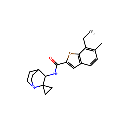 Cc1ccc2cc(C(=O)NC3C4CCN(CC4)C34CC4)sc2c1CC(F)(F)F